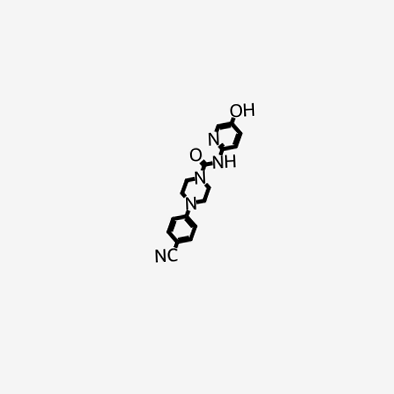 N#Cc1ccc(N2CCN(C(=O)Nc3ccc(O)cn3)CC2)cc1